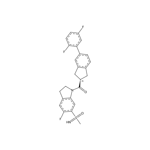 CS(=N)(=O)c1cc2c(cc1F)CCN2C(=O)[C@@H]1Cc2ccc(-c3cc(F)ccc3F)cc2C1